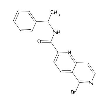 CC(NC(=O)c1ccc2c(Br)nccc2n1)c1ccccc1